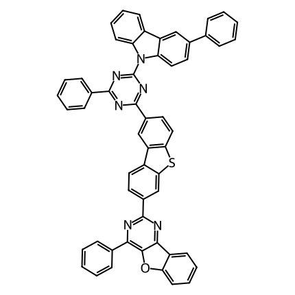 c1ccc(-c2ccc3c(c2)c2ccccc2n3-c2nc(-c3ccccc3)nc(-c3ccc4sc5cc(-c6nc(-c7ccccc7)c7oc8ccccc8c7n6)ccc5c4c3)n2)cc1